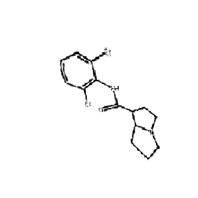 CCc1cccc(CC)c1NC(=O)C1CCN2CCCC12